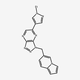 CCn1cc(-c2cnc3nnn(Cc4ccc5cccn5c4)c3n2)cn1